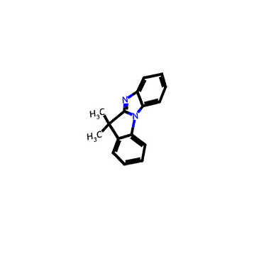 CC1(C)c2ccccc2-n2c1nc1ccccc12